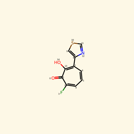 O=c1c(F)cccc(-c2cscn2)c1O